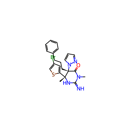 CN1C(=N)N[C@](C)(c2cc(Br)cs2)[C@](CCCc2ccccc2)(n2cccn2)C1=O